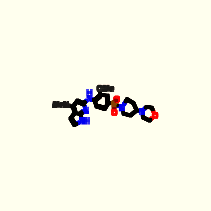 CNc1cc(Nc2ccc(S(=O)(=O)N3CCC(N4CCOCC4)CC3)cc2OC)nc2[nH]ccc12